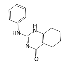 O=c1nc(Nc2ccccc2)[nH]c2c1CCCC2